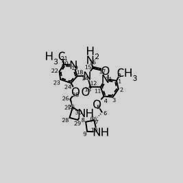 Cc1ccc(OC[C@H]2CCN2)c(C(=O)N(C(N)=O)c2nc(C)ccc2OC[C@@H]2CCN2)n1